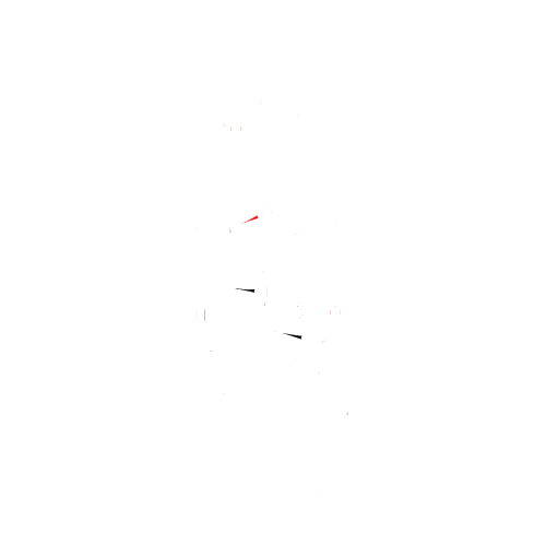 CCC(=O)OCC(=O)[C@@]1(OC(=O)OC)CC[C@H]2[C@@H]3CCC4=CC(=O)C=C[C@]4(C)[C@H]3C(=O)C[C@@]21C